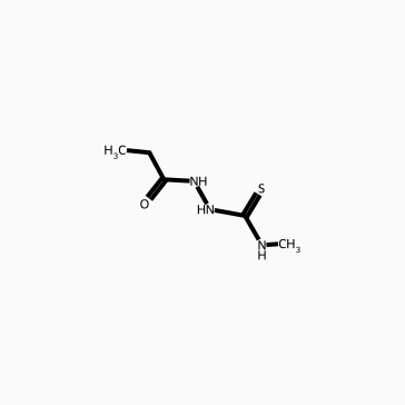 CCC(=O)NNC(=S)NC